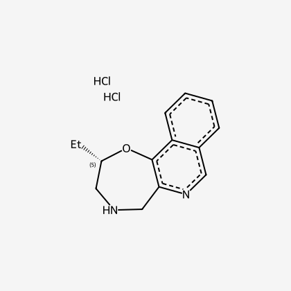 CC[C@H]1CNCc2ncc3ccccc3c2O1.Cl.Cl